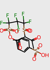 CC(=O)C(C(C)=O)S(=O)(=O)C(F)(F)C(F)(F)C(F)(F)S(=O)(=O)Oc1ccc(S(=O)(=O)O)cc1